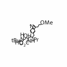 COCCCc1cn(C)c2ccc(CC(CC(NC(=O)O)C(O)CNC(=O)C(C)(C)C)C(C)C)cc12